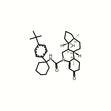 CC(C)(C)c1ccc(C2(NC(=O)N3C[C@H]4[C@@H]5CCC[C@@]5(C)CC[C@@H]4[C@@]4(C)CCC(=O)C=C34)CCCCC2)cc1